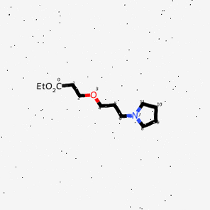 CCOC(=O)CCOCCCN1CCCC1